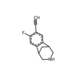 C#Cc1cc2c(cc1F)C1CNCC2C1